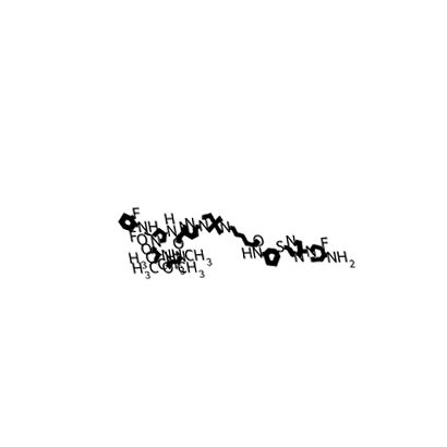 CN[C@H](C)C(=O)N[C@@H](C(=O)N1C[C@@H](NC(=O)c2ccc(N3CCC4(CN(CCCCC(=O)Nc5cccc(Sc6cnc(N7CCC(N)C(F)C7)cn6)c5)C4)C3)nn2)C[C@@H]1C(=O)Nc1c(F)cccc1F)C(C)(C)C